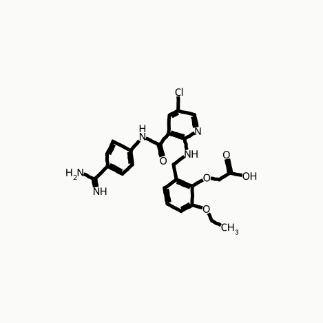 CCOc1cccc(CNc2ncc(Cl)cc2C(=O)Nc2ccc(C(=N)N)cc2)c1OCC(=O)O